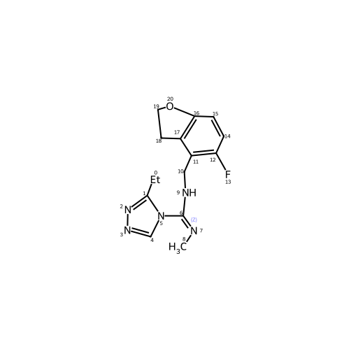 CCc1nncn1/C(=N\C)NCc1c(F)ccc2c1CCO2